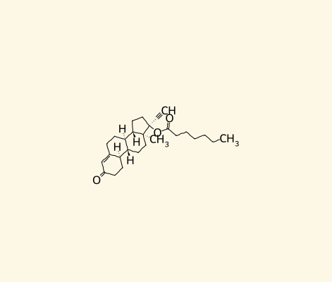 C#C[C@@]1(OC(=O)CCCCCC)CC[C@H]2[C@@H]3CCC4=CC(=O)CC[C@@H]4[C@H]3CC[C@@]21C